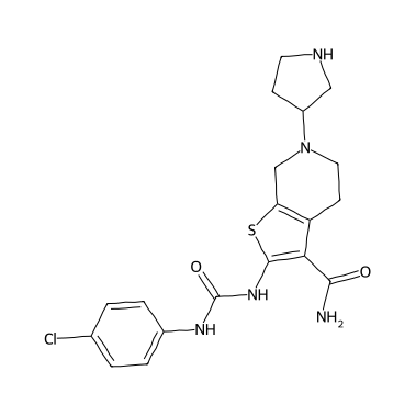 NC(=O)c1c(NC(=O)Nc2ccc(Cl)cc2)sc2c1CCN(C1CCNC1)C2